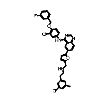 Fc1cc(Cl)cc(CCNCc2ccc(-c3ccc4ncnc(Nc5ccc(OCc6cccc(F)c6)c(Cl)c5)c4c3)o2)c1